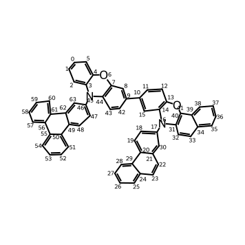 c1ccc2c(c1)Oc1cc(-c3ccc4c(c3)N(c3ccc5c(ccc6ccccc65)c3)c3ccc5ccccc5c3O4)ccc1N2c1ccc2c3ccccc3c3ccccc3c2c1